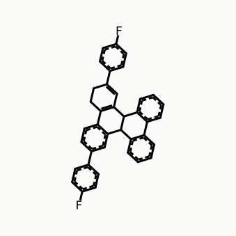 Fc1ccc(C2=CC3=C(CC2)c2ccc(-c4ccc(F)cc4)cc2C2c4ccccc4-c4ccccc4C32)cc1